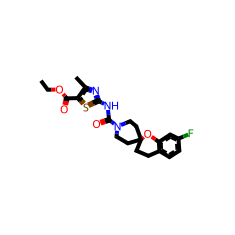 CCOC(=O)c1sc(NC(=O)N2CCC3(CCc4ccc(F)cc4O3)CC2)nc1C